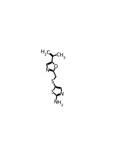 C=C(C)c1cnc(CSc2cnc(N)s2)o1